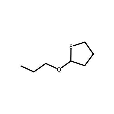 CCCOC1CCCS1